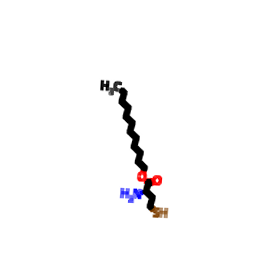 CCCCCCCCCCCCOC(=O)[C@H](N)CCS